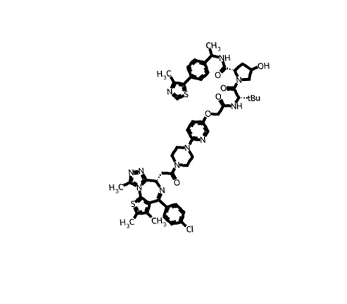 Cc1ncsc1-c1ccc(C(C)NC(=O)[C@@H]2CC(O)CN2C(=O)[C@@H](NC(=O)COc2ccc(N3CCN(C(=O)C[C@@H]4N=C(c5ccc(Cl)cc5)c5c(sc(C)c5C)-n5c(C)nnc54)CC3)nc2)C(C)(C)C)cc1